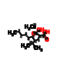 CCCCCCC(CC(C(=O)O)C(=O)O)C(C)C.[CaH2]